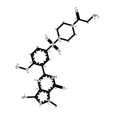 CCCc1nn(C)c2c(=O)[nH]c(-c3cc(S(=O)(=O)N4CCN(C(=O)CN)CC4)ccc3OCC)nc12